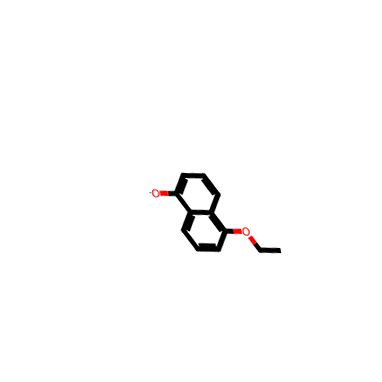 CCOc1cccc2c([O])cccc12